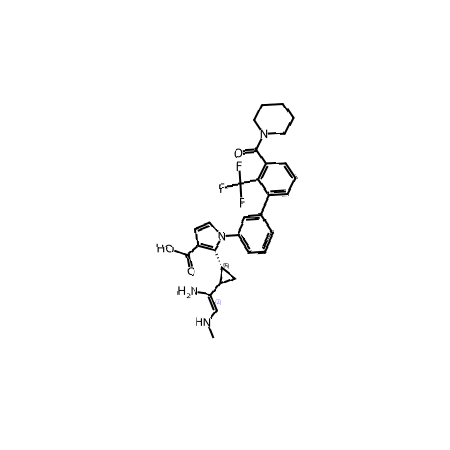 CN/C=C(\N)C1C[C@H]1c1c(C(=O)O)ccn1-c1cccc(-c2cccc(C(=O)N3CCCCC3)c2C(F)(F)F)c1